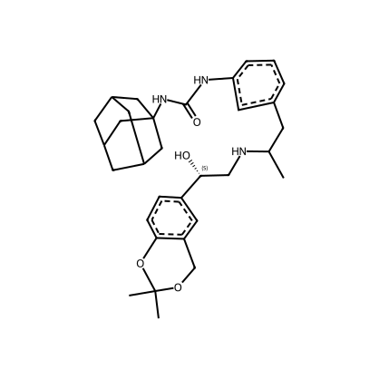 CC(Cc1cccc(NC(=O)NC23CC4CC(CC(C4)C2)C3)c1)NC[C@@H](O)c1ccc2c(c1)COC(C)(C)O2